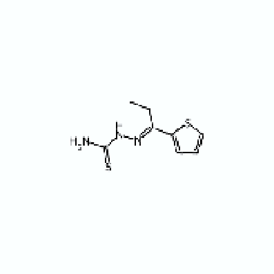 CCC(=NNC(N)=S)c1cccs1